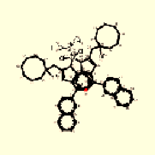 CCCC1(CC2=Cc3c(-c4ccc5ccccc5c4)cccc3[CH]2[Zr]([Cl])([Cl])([CH]2C(CC3(CCC)CCCCCCC3)=Cc3c(-c4ccc5ccccc5c4)cccc32)[SiH](C)C)CCCCCCC1